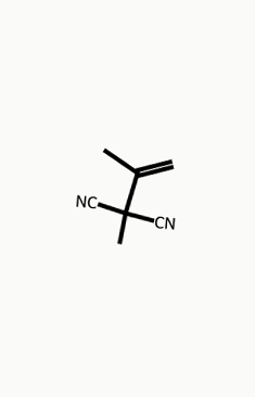 C=C(C)C(C)(C#N)C#N